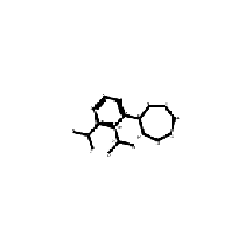 CC(C)c1cccc(C2C[CH]CCCC2)c1C(C)C